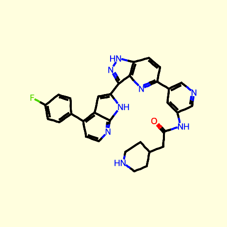 O=C(CC1CCNCC1)Nc1cncc(-c2ccc3[nH]nc(-c4cc5c(-c6ccc(F)cc6)ccnc5[nH]4)c3n2)c1